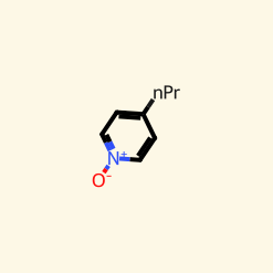 CCCc1cc[n+]([O-])cc1